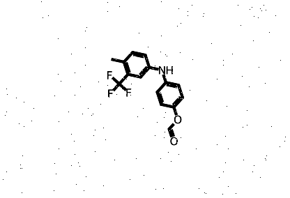 Cc1ccc(Nc2ccc(OC=O)cc2)cc1C(F)(F)F